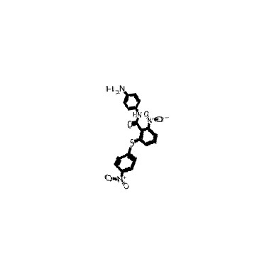 Nc1ccc(NC(=O)c2c(Sc3ccc([N+](=O)[O-])cc3)cccc2[N+](=O)[O-])cc1